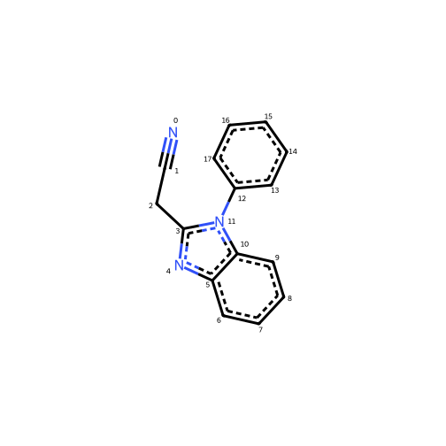 N#CCc1nc2ccccc2n1-c1ccccc1